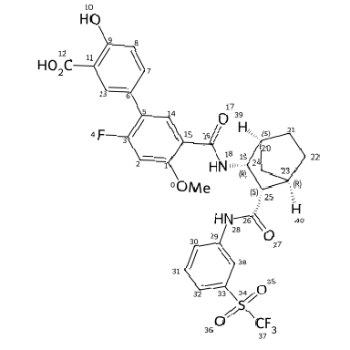 COc1cc(F)c(-c2ccc(O)c(C(=O)O)c2)cc1C(=O)N[C@@H]1[C@H]2CC[C@H](C2)[C@@H]1C(=O)Nc1cccc(S(=O)(=O)C(F)(F)F)c1